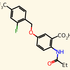 CCC(=O)Nc1ccc(OCc2ccc(C(F)(F)F)cc2F)cc1C(=O)O